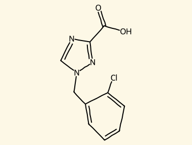 O=C(O)c1ncn(Cc2ccccc2Cl)n1